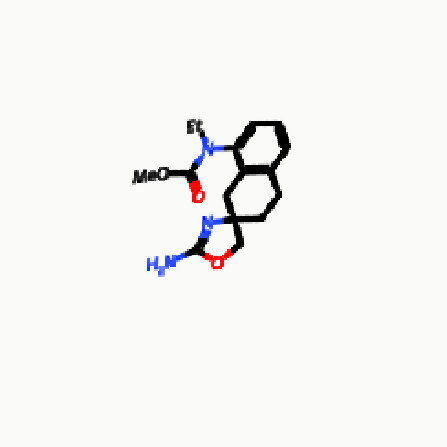 CCN(C(=O)OC)c1cccc2c1CC1(CC2)COC(N)=N1